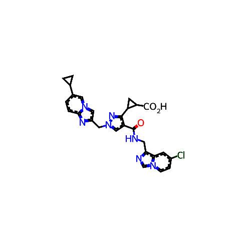 O=C(NCc1ncn2ccc(Cl)cc12)c1cn(Cc2cn3cc(C4CC4)ccc3n2)nc1C1CC1C(=O)O